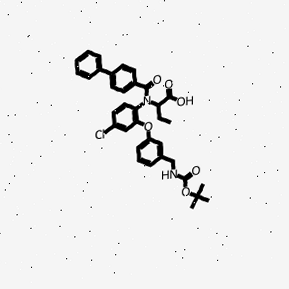 CCC(C(=O)O)N(C(=O)c1ccc(-c2ccccc2)cc1)c1ccc(Cl)cc1Oc1cccc(CNC(=O)OC(C)(C)C)c1